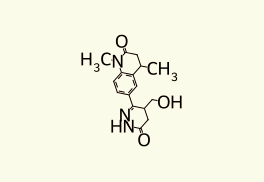 CC1CC(=O)N(C)c2ccc(C3=NNC(=O)CC3CO)cc21